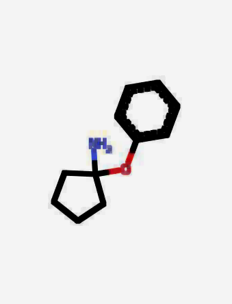 NC1(Oc2ccccc2)CCCC1